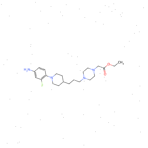 CCOC(=O)CN1CCN(CCCC2CCN(c3ccc(N)cc3F)CC2)CC1